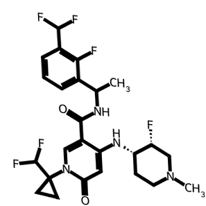 CC(NC(=O)c1cn(C2(C(F)F)CC2)c(=O)cc1N[C@H]1CCN(C)C[C@H]1F)c1cccc(C(F)F)c1F